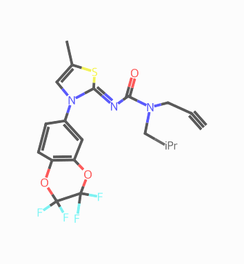 C#CCN(CC(C)C)C(=O)N=c1sc(C)cn1-c1ccc2c(c1)OC(F)(F)C(F)(F)O2